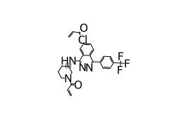 C=CC(=O)Cl.C=CC(=O)N1CCC[C@H](Nc2nnc(-c3ccc(C(F)(F)F)cc3)c3ccccc23)C1